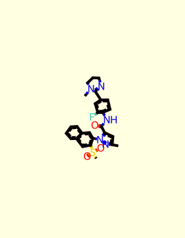 Cc1cc(C(=O)Nc2ccc(C3=NCCCN3C)cc2F)n(-c2cc3ccccc3cc2S(C)(=O)=O)n1